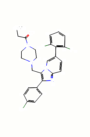 COCC(=O)N1CCN(Cc2c(-c3ccc(Cl)cc3)nc3ccc(-c4c(F)cccc4F)cn23)CC1